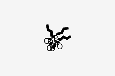 CCCC[PH](CCCC)(CCCC)[Ru]([CH]=O)([CH]=O)([CH]=O)[CH]=O